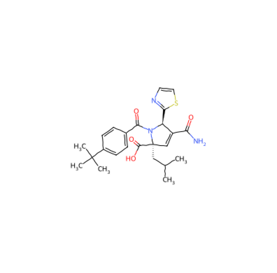 CC(C)C[C@@]1(C(=O)O)C=C(C(N)=O)[C@H](c2nccs2)N1C(=O)c1ccc(C(C)(C)C)cc1